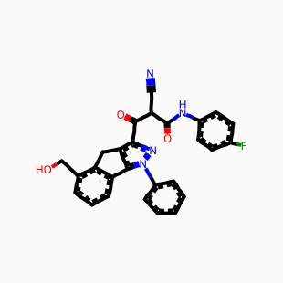 N#CC(C(=O)Nc1ccc(F)cc1)C(=O)c1nn(-c2ccccc2)c2c1Cc1c(CO)cccc1-2